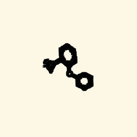 c1ccc(Oc2ccccc2C2CS2)cc1